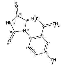 C=C(C)c1cc(C#N)ccc1N1CC(=O)NC1=O